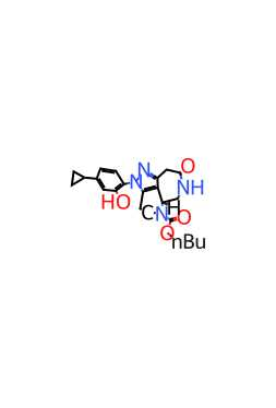 CCCCOC(=O)N1CCc2c3c(nn2-c2ccc(C4CC4)cc2O)CC(=O)NC[C@@H]31